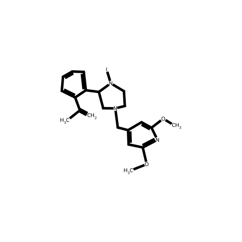 C=C(C)c1ccccc1C1CN(Cc2cc(OC)nc(OC)c2)CCN1I